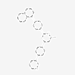 Cc1cc(-c2ccc(-c3cccnc3)cc2)nc(-c2ccc(-c3cccc4ccccc34)cc2)n1